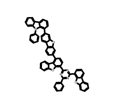 c1ccc(-c2nc(-c3cccc4c3oc3ccccc34)nc(-c3ccc(-c4ccc5c(c4)oc4cc(-c6cccc7c8ccccc8n(-c8ccccc8)c67)ccc45)c4c3oc3ccccc34)n2)cc1